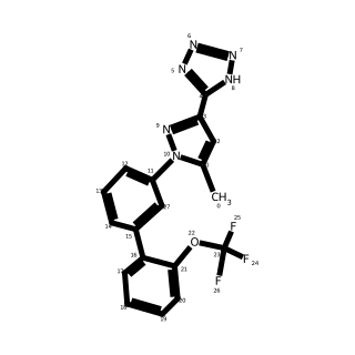 Cc1cc(-c2nnn[nH]2)nn1-c1cccc(-c2ccccc2OC(F)(F)F)c1